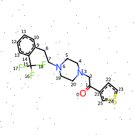 O=C(CN1CCN(CCc2ccccc2C(F)(F)F)CC1)c1ccsc1